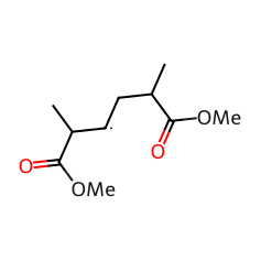 COC(=O)C(C)[CH]CC(C)C(=O)OC